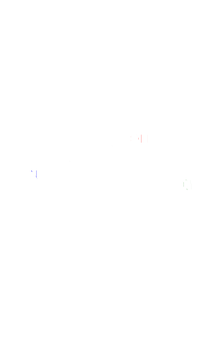 N#Cc1ccc(O)c(-c2cccc(Cl)c2)c1